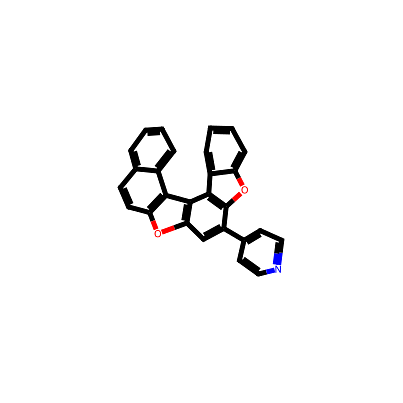 c1ccc2c(c1)ccc1oc3cc(-c4ccncc4)c4oc5ccccc5c4c3c12